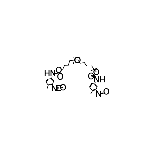 Cc1ccc(NC(=O)OCCCCC(C)(C)OCCCCC(C)(C)OC(=O)Nc2ccc(C)c(N=C=O)c2)cc1N=C=O